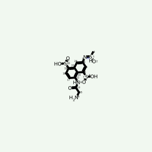 C/[SH](=O)=N/c1cc(S(=O)O)c2c(NC(=O)CN)ccc(S(=O)O)c2c1